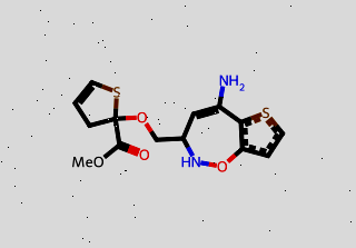 COC(=O)C1(OCC2C=C(N)c3sccc3ON2)CC=CS1